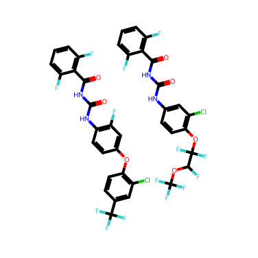 O=C(NC(=O)c1c(F)cccc1F)Nc1ccc(OC(F)(F)C(F)OC(F)(F)F)c(Cl)c1.O=C(NC(=O)c1c(F)cccc1F)Nc1ccc(Oc2ccc(C(F)(F)F)cc2Cl)cc1F